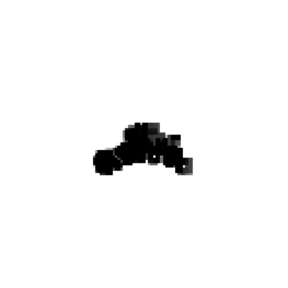 NC(=O)c1c(NC(=O)Cc2ccc(Cl)cc2F)sc2c1CCN(Cc1ccccn1)C2